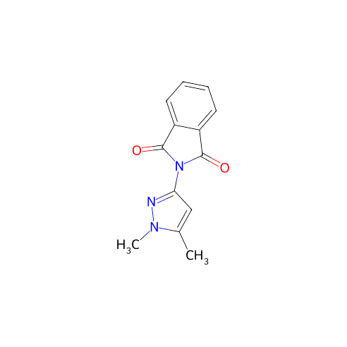 Cc1cc(N2C(=O)c3ccccc3C2=O)nn1C